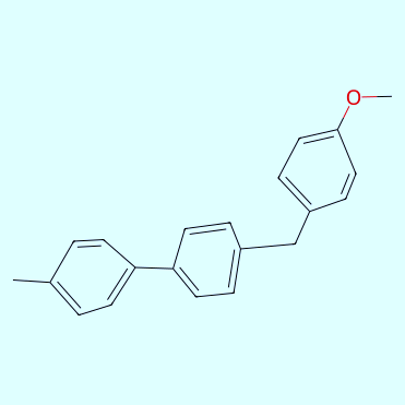 COc1ccc(Cc2ccc(-c3ccc(C)cc3)cc2)cc1